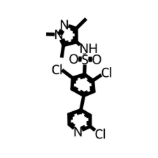 Cc1nn(C)c(C)c1NS(=O)(=O)c1c(Cl)cc(-c2ccnc(Cl)c2)cc1Cl